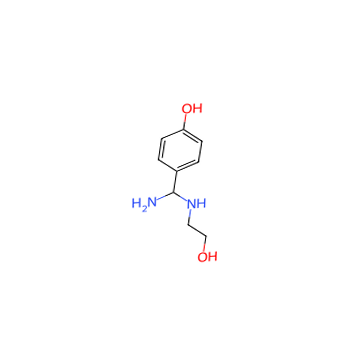 NC(NCCO)c1ccc(O)cc1